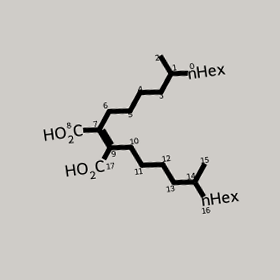 CCCCCCC(C)CCCCC(C(=O)O)=C(CCCCC(C)CCCCCC)C(=O)O